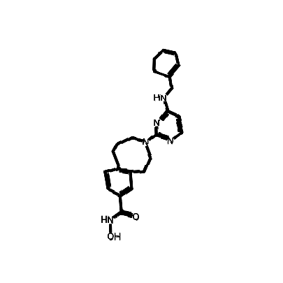 O=C(NO)c1ccc2c(c1)CCN(c1nccc(NCC3=CC=CCC3)n1)CCC2